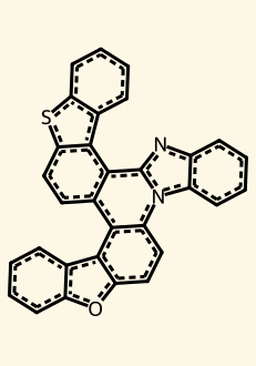 c1ccc2c(c1)nc1c3c(ccc4sc5ccccc5c43)c3c4c(ccc3n21)oc1ccccc14